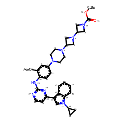 COc1cc(N2CCN(C3CN(C4CN(C(=O)OC(C)(C)C)C4)C3)CC2)ccc1Nc1nccc(-c2cn(C3CC3)c3ccccc23)n1